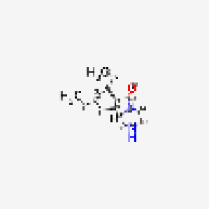 CCc1cc(CC)c2c(c1)[C@@H]1CNCCN1C2=O